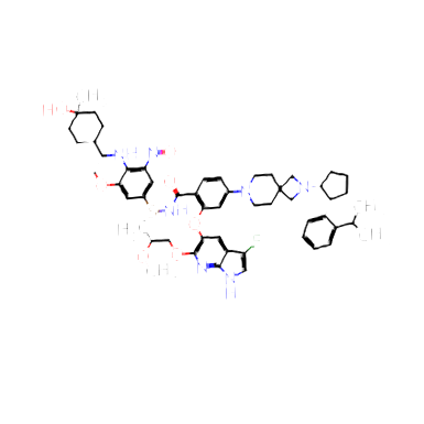 CO[C@@H](C)COc1nc2[nH]cc(F)c2cc1Oc1cc(N2CCC3(CC2)CN([C@@H]2CCC[C@@H]2c2ccccc2C(C)C)C3)ccc1C(=O)NSc1cc(N=O)c2c(c1)OC[C@H]([C@H]1CC[C@](C)(O)CC1)N2